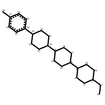 CCC1CCC(C2CCC(C3CCC(c4ccc(C)cc4)CC3)CC2)CC1